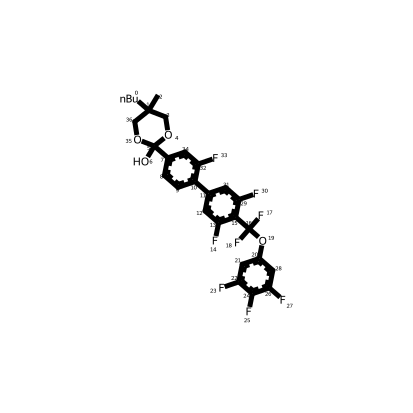 CCCCC1(C)COC(O)(c2ccc(-c3cc(F)c(C(F)(F)Oc4cc(F)c(F)c(F)c4)c(F)c3)c(F)c2)OC1